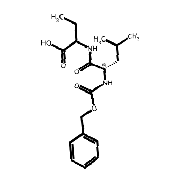 CCC(NC(=O)[C@H](CC(C)C)NC(=O)OCc1ccccc1)C(=O)O